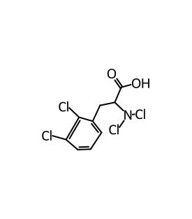 O=C(O)C(Cc1cccc(Cl)c1Cl)N(Cl)Cl